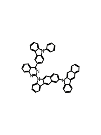 c1ccc(-n2c3ccccc3c3cc(-c4nc(-n5c6ccccc6c6cc7cc(-n8c9ccccc9c9cc%10ccccc%10cc98)ccc7cc65)nc5ccccc45)ccc32)cc1